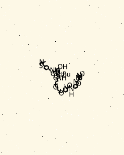 Cc1ncsc1-c1ccc(CNC(=O)[C@H]2C[C@H](O)CN2C(=O)C(NC(=O)CCC(C)(C)OCCC(C)(C)Oc2ccc(C(=O)Nc3ccc4oc(-c5ccc(=O)n(C)n5)nc4c3)nc2)C(C)(C)C)cc1